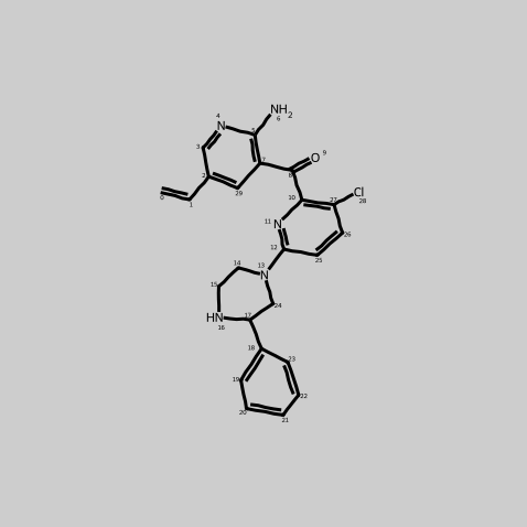 C=Cc1cnc(N)c(C(=O)c2nc(N3CCNC(c4ccccc4)C3)ccc2Cl)c1